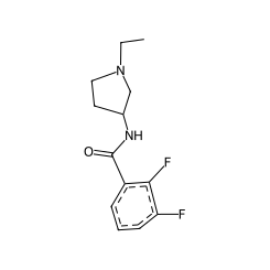 CCN1CCC(NC(=O)c2cccc(F)c2F)C1